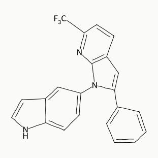 FC(F)(F)c1ccc2cc(-c3ccccc3)n(-c3ccc4[nH]ccc4c3)c2n1